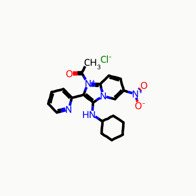 CC(=O)[n+]1c(-c2ccccn2)c(NC2CCCCC2)n2cc([N+](=O)[O-])ccc21.[Cl-]